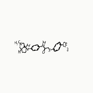 CN1C[C@@H]2CCN(c3ccc(NC(=O)CSc4ccc(C(F)(F)F)cc4)cc3)[C@@H]2C1